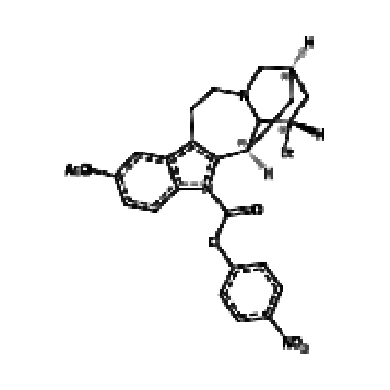 CC[C@H]1C[C@H]2C[C@H]3c4c(c5cc(OC(C)=O)ccc5n4C(=O)Oc4ccc([N+](=O)[O-])cc4)CCN(C2)C13